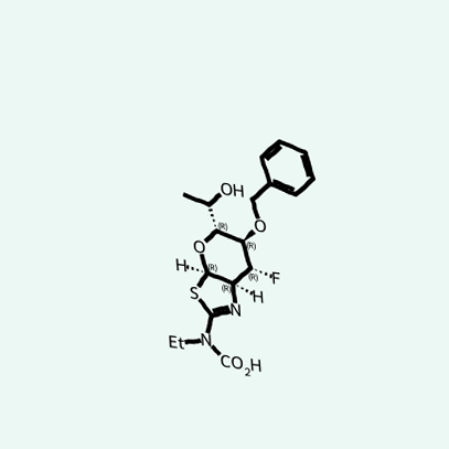 CCN(C(=O)O)C1=N[C@@H]2[C@@H](F)[C@H](OCc3ccccc3)[C@@H](C(C)O)O[C@@H]2S1